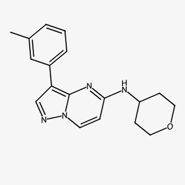 Cc1cccc(-c2cnn3ccc(NC4CCOCC4)nc23)c1